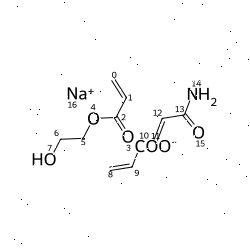 C=CC(=O)OCCO.C=CC(=O)[O-].C=CC(N)=O.[Na+]